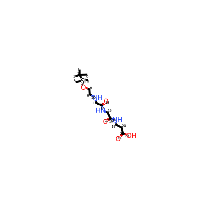 CC(C)(C)[Si](C)(C)OCCNCC(=O)NCC(=O)NCCC(=O)O